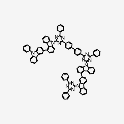 c1ccc(-c2nc(-c3ccccc3)nc(-n3c4ccccc4c4ccc(-c5cccc6c5c5ccccc5n6-c5nc(-c6ccccc6)nc(-c6ccc(-c7ccc(-c8nc(-c9ccccc9)nc(-n9c%10ccccc%10c%10c(-c%11ccc%12c(c%11)c%11ccccc%11n%12-c%11ccccc%11)cccc%109)n8)cc7)cc6)n5)cc43)n2)cc1